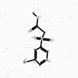 COC(=O)CS(=O)(=O)c1cncc(Br)c1